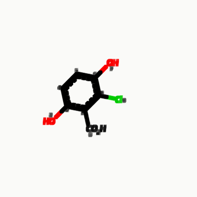 O=C(O)c1c(O)ccc(O)c1Cl